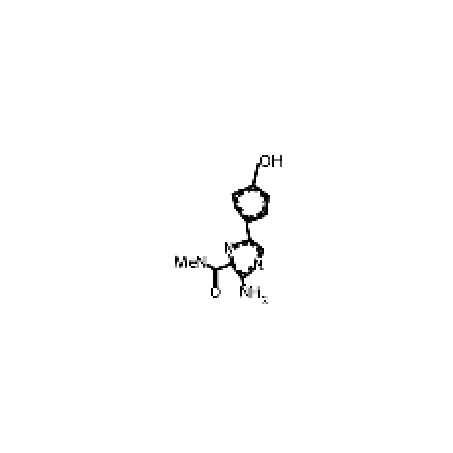 CNC(=O)c1nc(-c2ccc(CO)cc2)cnc1N